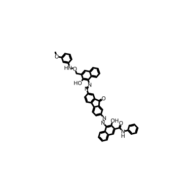 COc1cccc(NOCc2cc3ccccc3c(N=Nc3ccc4c(c3)C(=O)c3cc(N=Nc5c(O)c(C(=O)Nc6ccccc6)cc6ccccc56)ccc3-4)c2O)c1